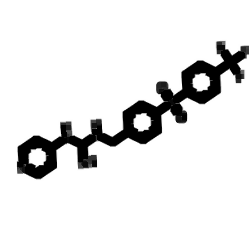 N=C(NCc1ccc(S(=O)(=O)c2ccc(C(F)(F)F)cc2)cc1)Nc1ccncc1